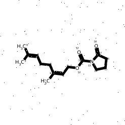 CC(C)=CCCC(C)=CCOC(=O)N1CCCC1=O